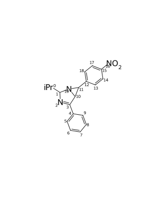 CC(C)C1N=C(c2ccccc2)C2C(c3ccc([N+](=O)[O-])cc3)N12